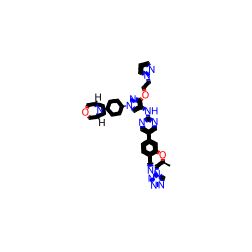 C[C@@H](Cn1cnnn1)Oc1cc(-c2cnc(Nc3cn([C@H]4CC[C@H](N5[C@@H]6CC[C@H]5COC6)CC4)nc3OCCn3cccn3)nc2)ccc1C#N